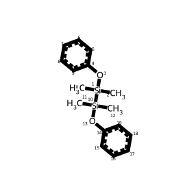 C[Si](C)(Oc1ccccc1)[Si](C)(C)Oc1ccccc1